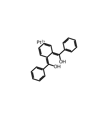 OC(c1ccccc1)=c1ccccc1=C(O)c1ccccc1.[Pt+2]